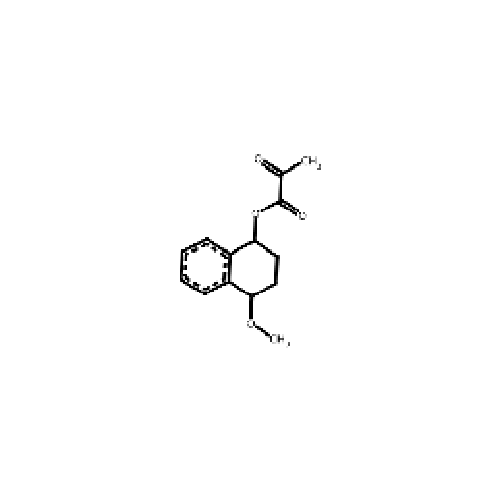 COC1CCC(OC(=O)C(C)=O)c2ccccc21